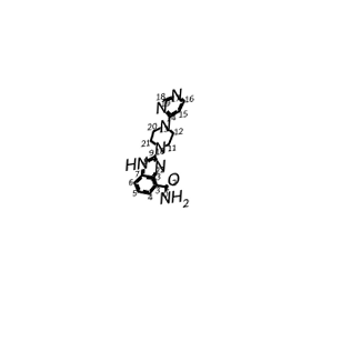 NC(=O)c1cccc2[nH]c(N3CCN(c4ccncn4)CC3)nc12